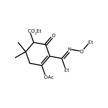 CCON=C(CC)C1=C(OC(C)=O)CC(C)(C)C(C(=O)OCC)C1=O